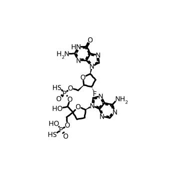 Nc1nc2c(ncn2[C@H]2C[C@H](F)[C@@H](COP(=O)(S)OC(O)C3(COP(=O)(O)S)CC[C@H](n4cnc5c(N)ncnc54)O3)O2)c(=O)[nH]1